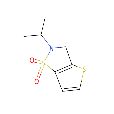 CC(C)N1Cc2sccc2S1(=O)=O